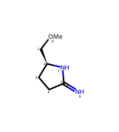 COC[C@@H]1CCC(=N)N1